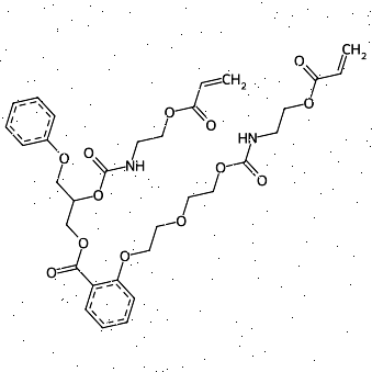 C=CC(=O)OCCNC(=O)OCCOCCOc1ccccc1C(=O)OCC(COc1ccccc1)OC(=O)NCCOC(=O)C=C